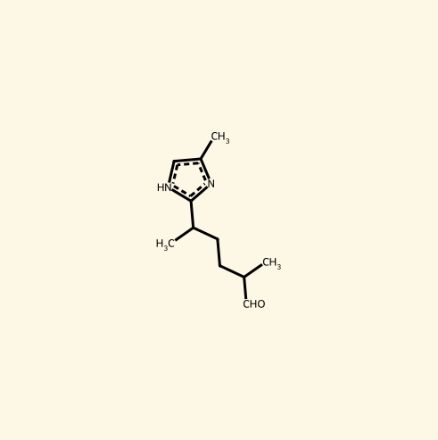 Cc1c[nH]c(C(C)CCC(C)C=O)n1